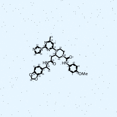 COc1ccc(NC(=O)N2CCN(c3cc(C)nc(-n4ccnc4)n3)C(CC(=O)NC(C)c3ccc4c(c3)OCO4)C2)cc1